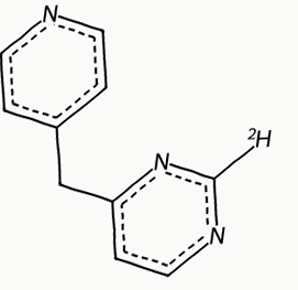 [2H]c1nccc(Cc2ccncc2)n1